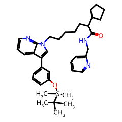 CC(C)(C)[Si](C)(C)Oc1cccc(-c2cn(CCCCCC(C(=O)NCc3ccccn3)C3CCCC3)c3ncccc23)c1